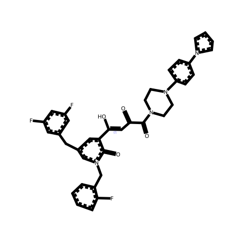 O=C(/C=C(\O)c1cc(Cc2cc(F)cc(F)c2)cn(Cc2ccccc2F)c1=O)C(=O)N1CCN(c2ccc(-n3cccc3)cc2)CC1